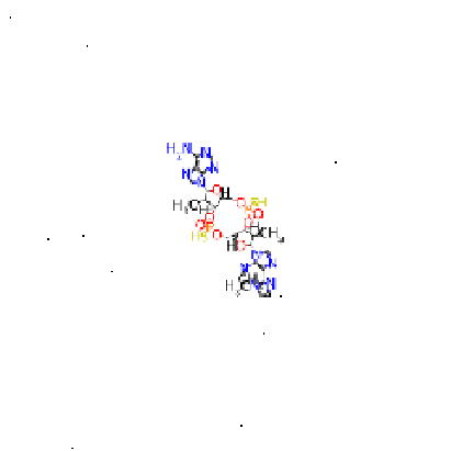 C=Nc1c(-c2nccn2C)ncn1[C@@H]1O[C@@H]2COP(=O)(S)O[C@H]3[C@@H](C)[C@H](n4cnc5c(N)ncnc54)O[C@@H]3COP(=O)(S)O[C@H]2[C@H]1C